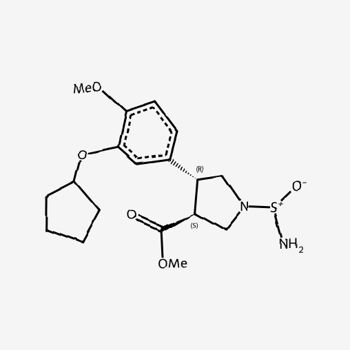 COC(=O)[C@@H]1CN([S+](N)[O-])C[C@H]1c1ccc(OC)c(OC2CCCC2)c1